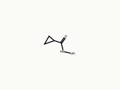 CCCNC(=O)[C]1CC1